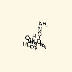 NC1CCN(c2ccc(-c3cc(C(=O)N[C@@H](c4cc5ccccc5[nH]4)c4cc(F)ccc4O)cc(-n4ccnc4)c3)cc2)CC1